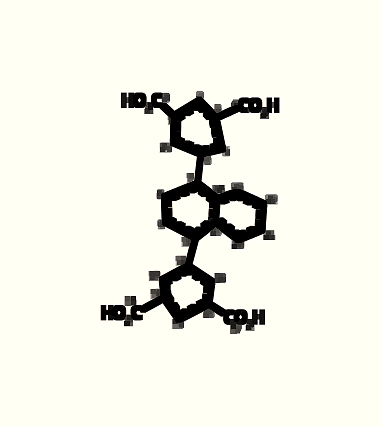 O=C(O)c1cc(C(=O)O)cc(-c2ccc(-c3cc(C(=O)O)cc(C(=O)O)c3)c3ccccc23)c1